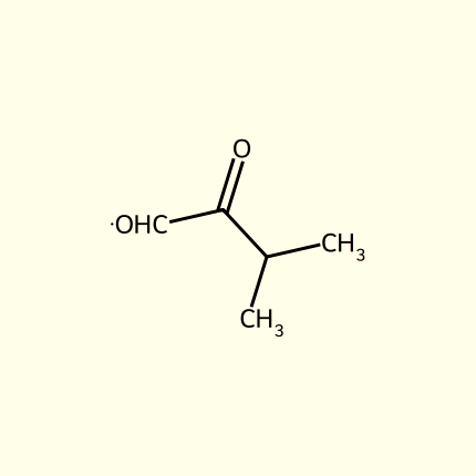 CC(C)C(=O)[C]=O